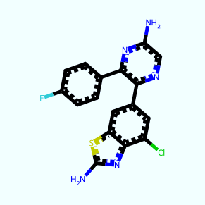 Nc1cnc(-c2cc(Cl)c3nc(N)sc3c2)c(-c2ccc(F)cc2)n1